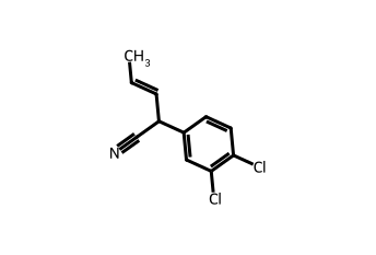 CC=CC(C#N)c1ccc(Cl)c(Cl)c1